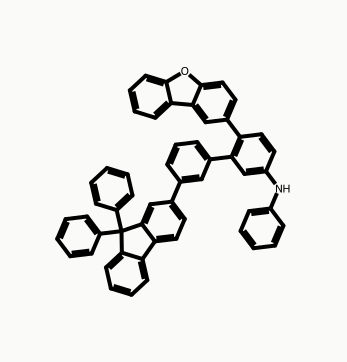 c1ccc(Nc2ccc(-c3ccc4oc5ccccc5c4c3)c(-c3cccc(-c4ccc5c(c4)C(c4ccccc4)(c4ccccc4)c4ccccc4-5)c3)c2)cc1